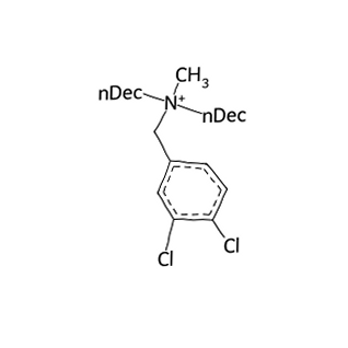 CCCCCCCCCC[N+](C)(CCCCCCCCCC)Cc1ccc(Cl)c(Cl)c1